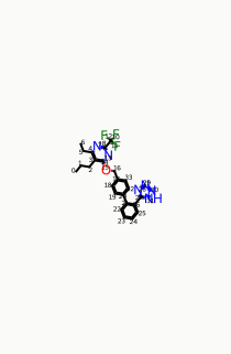 CCCc1c(CC)nc(C(F)(F)F)nc1OCc1ccc(-c2ccccc2-c2nnn[nH]2)cc1